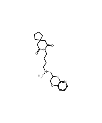 CN(CCCCN1C(=O)CC2(CCCC2)CC1=O)CC1COc2cccnc2O1